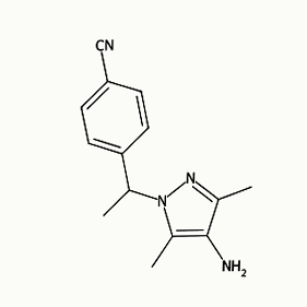 Cc1nn(C(C)c2ccc(C#N)cc2)c(C)c1N